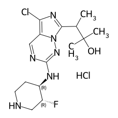 CC(c1nc(Cl)c2cnc(N[C@@H]3CCNC[C@H]3F)nn12)C(C)(C)O.Cl